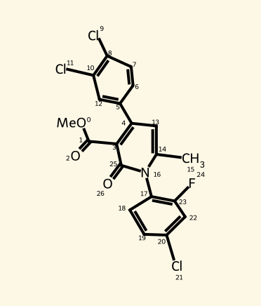 COC(=O)c1c(-c2ccc(Cl)c(Cl)c2)cc(C)n(-c2ccc(Cl)cc2F)c1=O